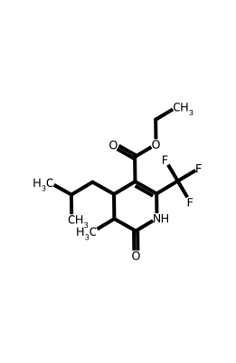 CCOC(=O)C1=C(C(F)(F)F)NC(=O)C(C)C1CC(C)C